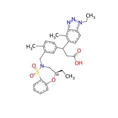 CC[C@@H]1CN(Cc2cc(C(CC(=O)O)c3ccc4c(nnn4CC)c3C)ccc2C)S(=O)(=O)c2ccccc2O1